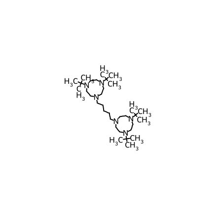 CC(C)(C)N1CCN(CCCCCN2CCN(C(C)(C)C)CCN(C(C)(C)C)CC2)CCN(C(C)(C)C)CC1